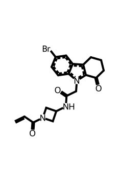 C=CC(=O)N1CC(NC(=O)Cn2c3c(c4cc(Br)ccc42)CCCC3=O)C1